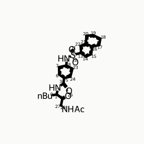 CCCCC(NC(=O)c1ccc(NS(=O)(=O)c2ccc3ccccc3c2)cc1)C(=O)CNC(C)=O